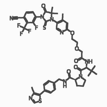 Cc1cc(OCCOCC(=O)N[C@H](C(=O)N2CCC[C@H]2C(=O)NCc2ccc(-c3scnc3C)cc2)C(C)(C)C)ncc1N1C(=S)N(c2ccc(C#N)c(C(F)(F)F)c2F)C(=O)C1(C)C